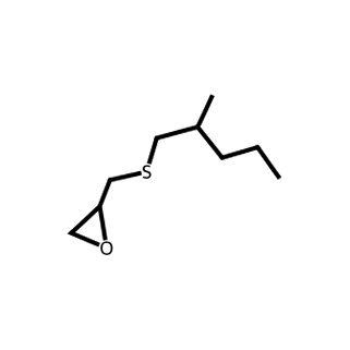 CCCC(C)CSCC1CO1